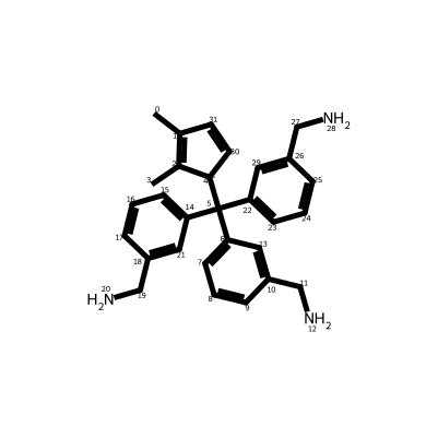 CC1=C(C)[C](C(c2cccc(CN)c2)(c2cccc(CN)c2)c2cccc(CN)c2)C=C1